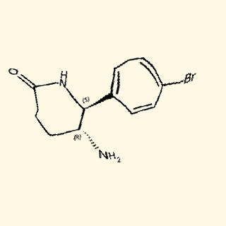 N[C@@H]1CCC(=O)N[C@H]1c1ccc(Br)cc1